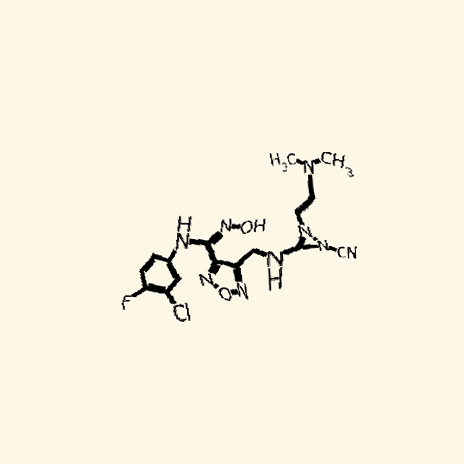 CN(C)CCN1C(NCc2nonc2/C(=N\O)Nc2ccc(F)c(Cl)c2)N1C#N